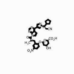 CN(Cc1cc([N+](=O)[O-])ccc1O[C@H]1C[C@@H](O)C[C@@H](C(=O)O)O1)C(=O)n1ccc2c(-c3cnn([C@H](CC#N)C4CCCC4)c3)ncnc21